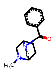 CN1CC2CCC1CN2C(=O)c1ccccc1